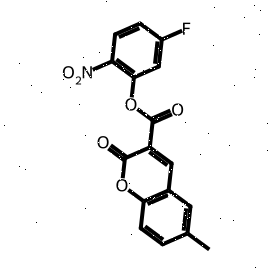 Cc1ccc2oc(=O)c(C(=O)Oc3cc(F)ccc3[N+](=O)[O-])cc2c1